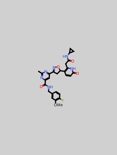 COc1cc(CNC(=O)c2cc(C3=NOC(c4ccc(=O)[nH]c4CC(=O)NC4CC4)C3)nc(C)n2)ccc1F